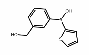 OCc1cccc(B(O)c2cccs2)c1